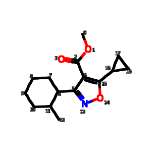 COC(=O)c1c(C2CCCCC2C)noc1C1CC1